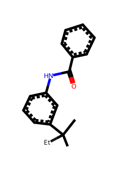 CCC(C)(C)c1cccc(NC(=O)c2ccccc2)c1